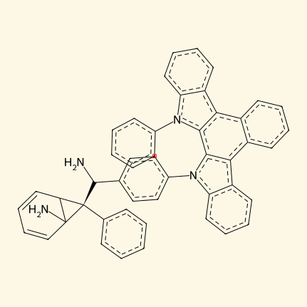 NC(c1ccc(-n2c3ccccc3c3c4ccccc4c4c5ccccc5n(-c5ccccc5)c4c32)cc1)[C@]1(c2ccccc2)C2C=CC=CC21N